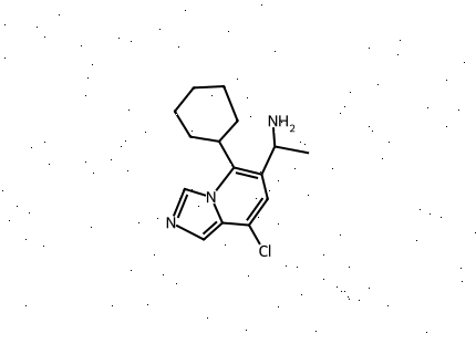 CC(N)c1cc(Cl)c2cncn2c1C1CCCCC1